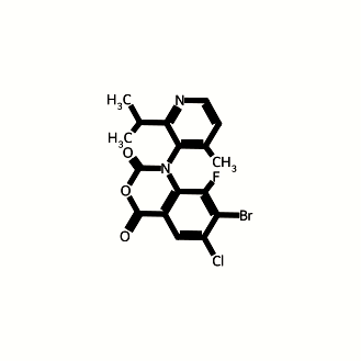 Cc1ccnc(C(C)C)c1-n1c(=O)oc(=O)c2cc(Cl)c(Br)c(F)c21